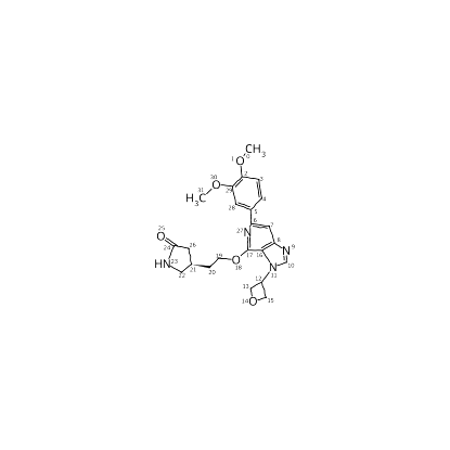 COc1ccc(-c2cc3ncn(C4COC4)c3c(OCC[C@H]3CNC(=O)C3)n2)cc1OC